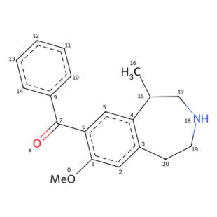 COc1cc2c(cc1C(=O)c1ccccc1)C(C)CNCC2